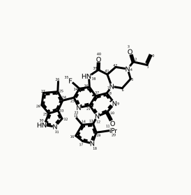 C=CC(=O)N1CCN2c3nc(=O)n(-c4c(C)ccnc4C(C)C)c4nc(-c5c(C)ccc6[nH]ncc56)c(F)c(c34)NC(=O)C2C1